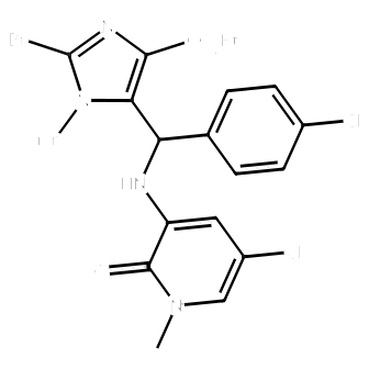 CCOC(=O)c1nc(Br)n(C(C)C)c1C(Nc1cc(Cl)cn(C)c1=O)c1ccc(Cl)cc1